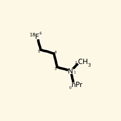 CCCN(C)CCC[18F]